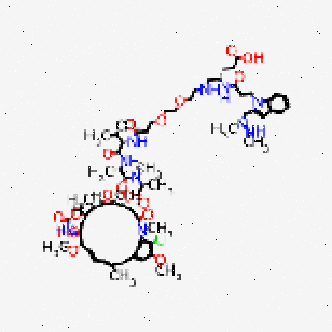 CNN(C)Cc1cc2ccccc2n1CCC(=O)N[C@@H](CCC(=O)O)CNCCOCCOCCC(=O)N[C@H](C(=O)N[C@@H](C)C(=O)N(C)[C@@H](C)C(=O)O[C@H]1CC(=O)N(C)c2cc(cc(OC)c2Cl)C/C(C)=C/C=C/[C@@H](OC)[C@@]2(O)C[C@H](OC(=O)N2)[C@@H](C)[C@@H]2O[C@@]12C)C(C)C